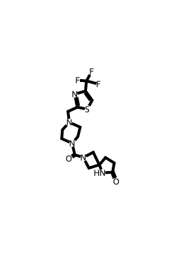 O=C1CCC2(CN(C(=O)N3CCN(Cc4nc(C(F)(F)F)cs4)CC3)C2)N1